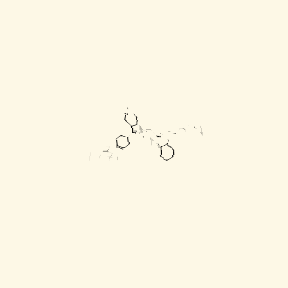 CS(=O)(=O)c1ccc(-c2nn(Cc3nc4ccccc4n3CCCC#N)c3cnccc23)cc1